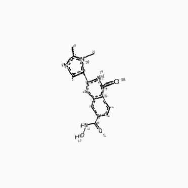 Cc1ncc(-c2nc3cc(C(=O)NO)ccc3c(=O)[nH]2)n1C